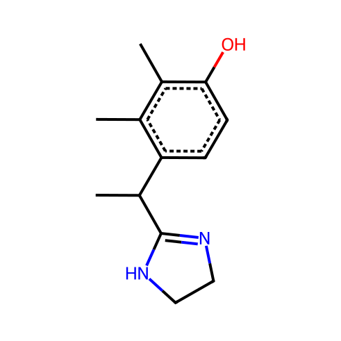 Cc1c(O)ccc(C(C)C2=NCCN2)c1C